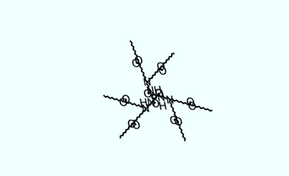 CCCCCCCCCOC(=O)CCCCCCCCN(CCCCCCCCC(=O)OCCCCCCCCC)CCCNC(=O)c1cc(C(=O)NCCCN(CCCCCCCCC(=O)OCCCCCCCCC)CCCCCCCCC(=O)OCCCCCCCCC)cc(C(=O)NCCCN(CCCCCCCCC(=O)OCCCCCCCCC)CCCCCCCCC(=O)OCCCCCCCCC)c1